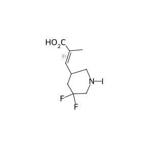 C/C(=C\C1CN(I)CC(F)(F)C1)C(=O)O